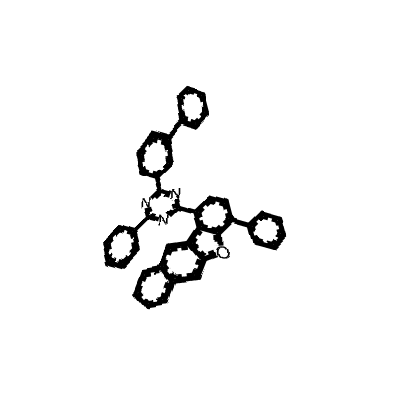 c1ccc(-c2cccc(-c3nc(-c4ccccc4)nc(-c4ccc(-c5ccccc5)c5oc6cc7ccccc7cc6c45)n3)c2)cc1